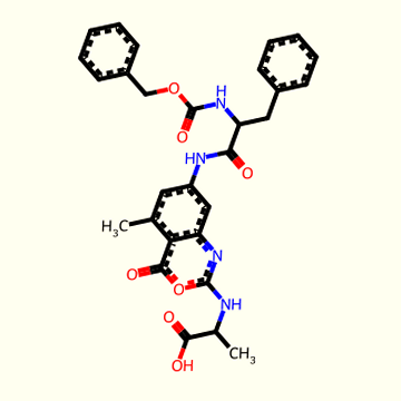 Cc1cc(NC(=O)C(Cc2ccccc2)NC(=O)OCc2ccccc2)cc2nc(NC(C)C(=O)O)oc(=O)c12